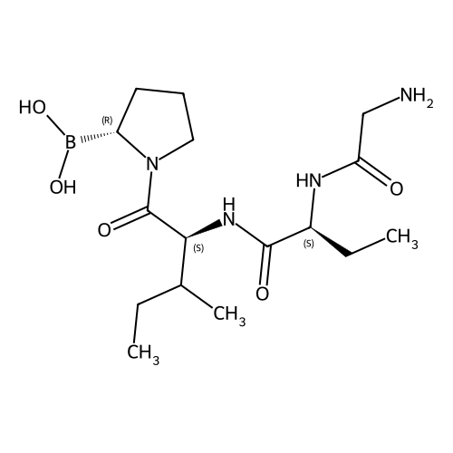 CCC(C)[C@H](NC(=O)[C@H](CC)NC(=O)CN)C(=O)N1CCC[C@H]1B(O)O